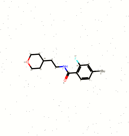 CC(C)(C)c1ccc(C(=O)NCCC2CCOCC2)c(F)c1